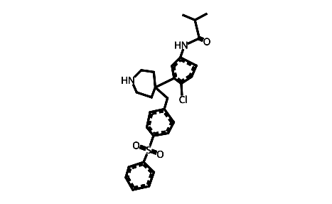 CC(C)C(=O)Nc1ccc(Cl)c(C2(Cc3ccc(S(=O)(=O)c4ccccc4)cc3)CCNCC2)c1